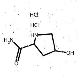 Cl.Cl.NC(=O)C1CC(O)CN1